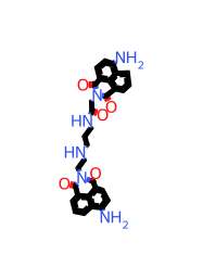 Nc1ccc2c3c(cccc13)C(=O)N(CCNCCCNC(=O)CN1C(=O)c3cccc4c(N)ccc(c34)C1=O)C2=O